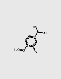 COc1ccc(B(O)O)cc1Br